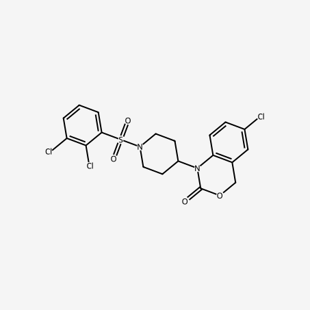 O=C1OCc2cc(Cl)ccc2N1C1CCN(S(=O)(=O)c2cccc(Cl)c2Cl)CC1